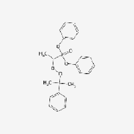 CC(OOC(C)(C)c1ccccc1)P(=O)(Oc1ccccc1)Oc1ccccc1